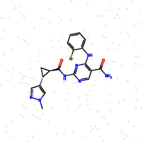 Cn1cc([C@@H]2C[C@H]2C(=O)Nc2ncc(C(N)=O)c(Nc3ccccc3Br)n2)cn1